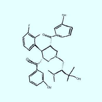 Cc1c(F)cccc1[C@@H]1[C@@H](C(=O)c2cccc(O)c2)CN(C[C@@H](N(C)C)C(C)(C)O)C[C@H]1C(=O)c1cccc(O)c1